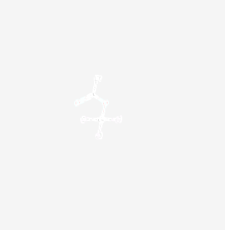 CCC(=O)[O][Ge]([Cl])([Cl])[Cl]